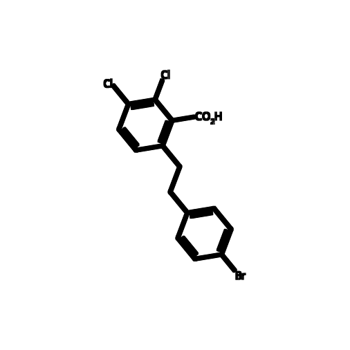 O=C(O)c1c(CCc2ccc(Br)cc2)ccc(Cl)c1Cl